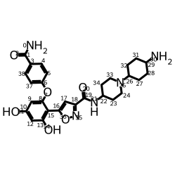 NC(=O)c1ccc(Oc2cc(O)cc(O)c2-c2cc(C(=O)NC3CCN(C4CCC(N)CC4)CC3)no2)cc1